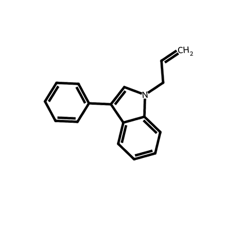 C=CCn1cc(-c2ccccc2)c2ccccc21